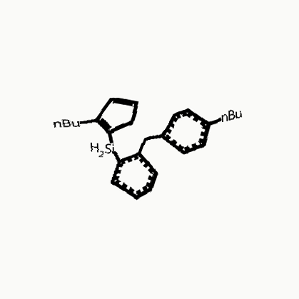 CCCCC1=C([SiH2]c2ccccc2Cc2ccc(CCCC)cc2)CC=C1